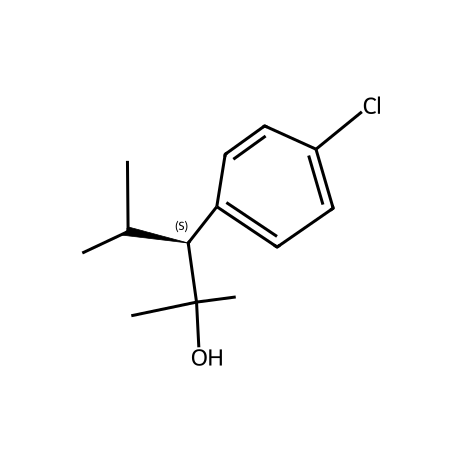 CC(C)[C@@H](c1ccc(Cl)cc1)C(C)(C)O